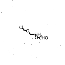 O=[C]O[SiH2]COCCl